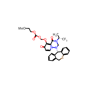 COCCOC(=O)OCOc1c2n(ccc1=O)N([C@H]1c3ccccc3CSc3ccccc31)CN([C@H](C)C(F)(F)F)C2=O